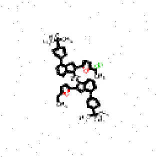 CCc1ccc(C2=Cc3c(-c4ccc(C(C)(C)C)cc4)cccc3[CH]2[Zr+2][CH]2C(c3ccc(CC)o3)=Cc3c(-c4ccc(C(C)(C)C)cc4)cccc32)o1.[Cl-].[Cl-]